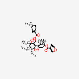 COc1cc(OC(=O)c2ccoc2)ccc1C1=C(COC(=O)c2ccc(C)cc2)C(C)(O)CC(C)(C)C1O